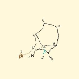 F[C@@H]1C2CCC1[C@@H](Br)C2